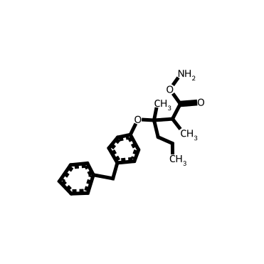 CCCC(C)(Oc1ccc(Cc2ccccc2)cc1)C(C)C(=O)ON